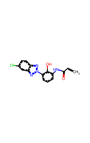 C=CC(=O)Nc1cccc(-n2nc3ccc(Cl)cc3n2)c1O